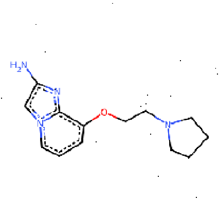 Nc1cn2cccc(OCCN3CCCC3)c2n1